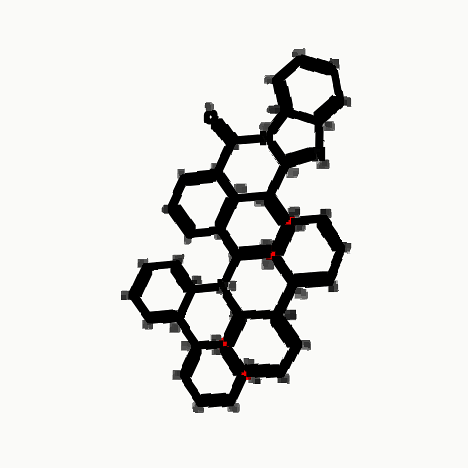 O=c1c2cccc3c(N(c4ccccc4-c4ccccc4)c4ccccc4-c4ccccc4)ccc(c32)c2nc3ccccc3n12